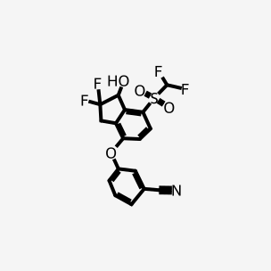 N#Cc1cccc(Oc2ccc(S(=O)(=O)C(F)F)c3c2CC(F)(F)C3O)c1